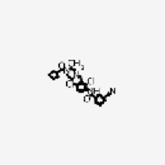 C[C@H]1CN(Cc2c(Cl)ccc(NC(=O)c3cccc(C#N)c3)c2Cl)CCN1C(=O)C1CCCC1